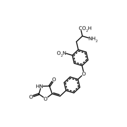 NC(Cc1ccc(Oc2ccc(C=C3OC(=O)NC3=O)cc2)cc1[N+](=O)[O-])C(=O)O